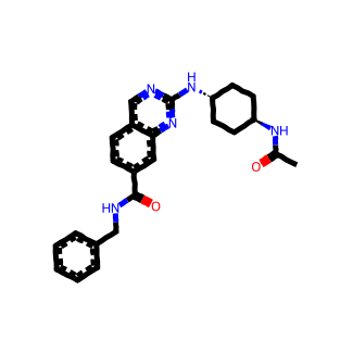 CC(=O)N[C@H]1CC[C@H](Nc2ncc3ccc(C(=O)NCc4ccccc4)cc3n2)CC1